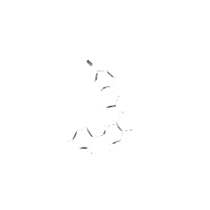 C#Cc1ccc(CC(=O)Nc2nc(-c3ccccn3)ncc2C)cc1